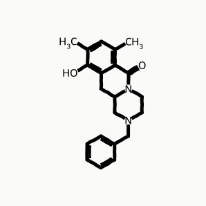 Cc1cc(C)c2c(c1O)CC1CN(Cc3ccccc3)CCN1C2=O